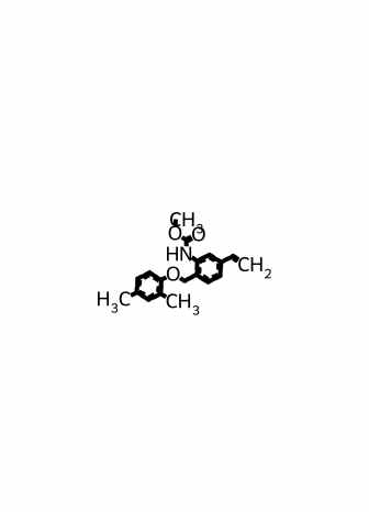 C=Cc1ccc(COc2ccc(C)cc2C)c(NC(=O)OC)c1